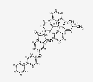 C=C/C=C\C(=C/C)[PH](c1ccccc1)(c1ccccc1)c1cccc(N2C(=O)c3ccc(Oc4ccc(-c5ccccc5)cc4)cc3C2=O)c1